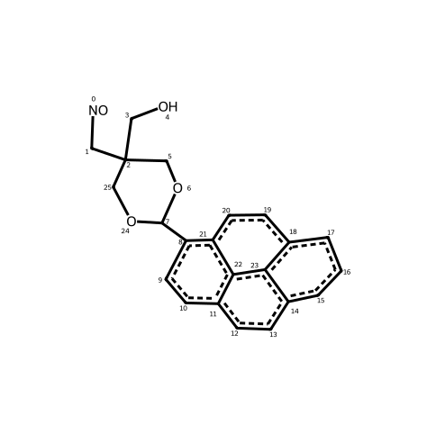 O=NCC1(CO)COC(c2ccc3ccc4cccc5ccc2c3c45)OC1